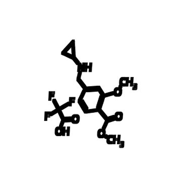 COC(=O)c1ccc(CNC2CC2)cc1OC.O=C(O)C(F)(F)F